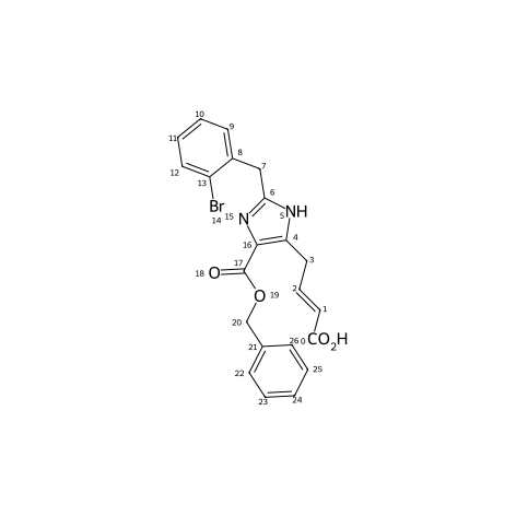 O=C(O)C=CCc1[nH]c(Cc2ccccc2Br)nc1C(=O)OCc1ccccc1